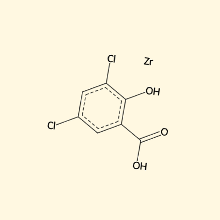 O=C(O)c1cc(Cl)cc(Cl)c1O.[Zr]